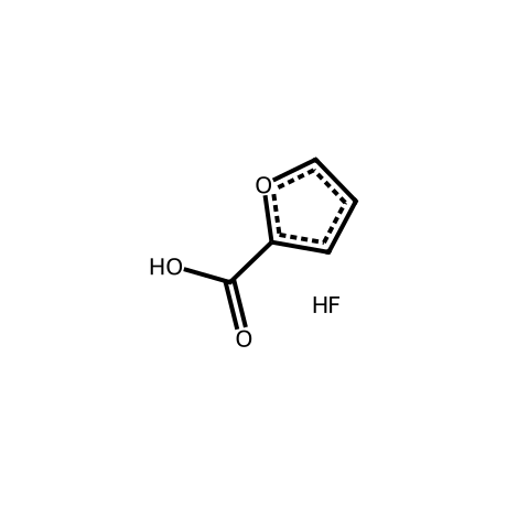 F.O=C(O)c1ccco1